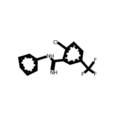 N=C(Nc1ccccc1)c1cc(C(F)(F)F)ccc1Cl